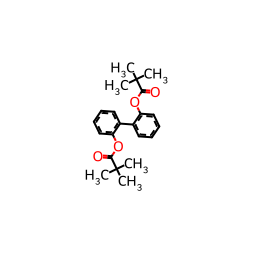 CC(C)(C)C(=O)Oc1ccccc1-c1ccccc1OC(=O)C(C)(C)C